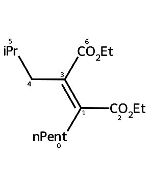 CCCCC/C(C(=O)OCC)=C(\CC(C)C)C(=O)OCC